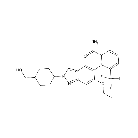 CCOc1cc2nn(C3CCC(CO)CC3)cc2cc1N1C(C(F)(F)F)=CC=CC1C(N)=O